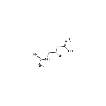 C=C(O)CC(O)CNC(=N)N